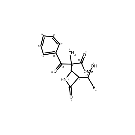 CCC(O)C1C(=O)NC1C(C)(C(=O)OC)C(=O)c1ccccc1